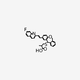 CC(CSC1c2ccccc2COc2ccc(C=Cc3ccc4ccc(F)cc4n3)cc21)C(=O)O